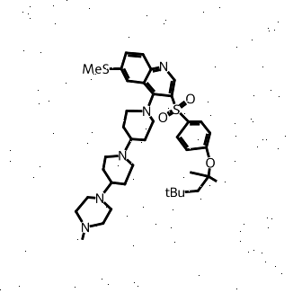 CSc1ccc2ncc(S(=O)(=O)c3ccc(OC(C)(C)CC(C)(C)C)cc3)c(N3CCC(N4CCC(N5CCN(C)CC5)CC4)CC3)c2c1